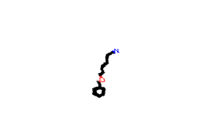 N#CCCCCCOCc1ccccc1